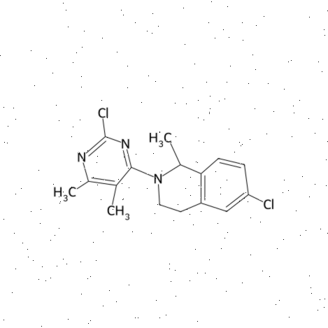 Cc1nc(Cl)nc(N2CCc3cc(Cl)ccc3C2C)c1C